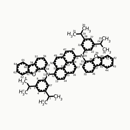 CC(C)c1cc(C(C)C)cc(N(c2ccc3ccc4c(N(c5cc(C(C)C)cc(C(C)C)c5)c5cccc6c5oc5ccccc56)ccc5ccc2c3c54)c2cccc3c2oc2ccccc23)c1